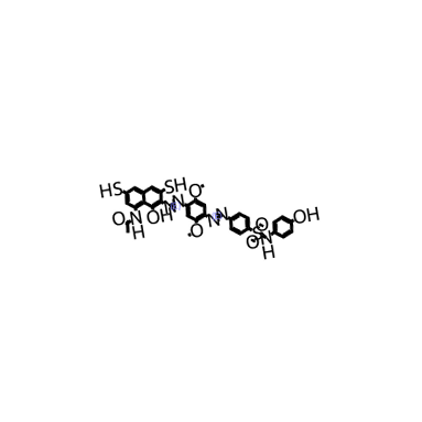 COc1cc(/N=N/c2c(S)cc3cc(S)cc(NC(C)=O)c3c2O)c(OC)cc1/N=N/c1ccc(S(=O)(=O)Nc2ccc(O)cc2)cc1